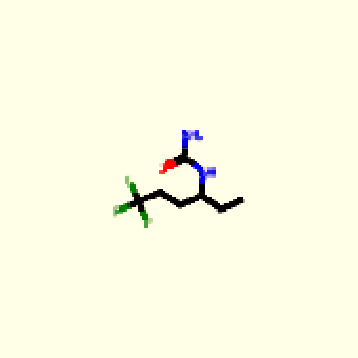 CCC(CCC(F)(F)F)NC(N)=O